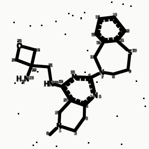 CN1CCc2nc(N3CCSc4ccccc4C3)nc(NCC3(N)COC3)c2C1